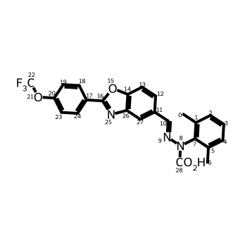 Cc1cccc(C)c1N(N=Cc1ccc2oc(-c3ccc(OC(F)(F)F)cc3)nc2c1)C(=O)O